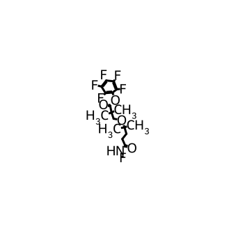 CC(C)(CCC(=O)NF)OCC(C)(C)C(=O)Oc1c(F)c(F)c(F)c(F)c1F